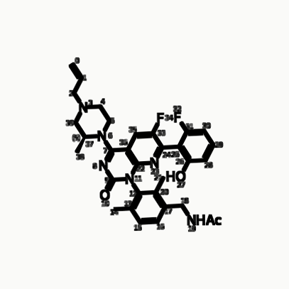 C=CCN1CCN(c2nc(=O)n(-c3c(C)ccc(CNC(C)=O)c3C)c3nc(-c4c(O)cccc4F)c(F)cc23)[C@@H](C)C1